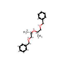 C[C@@H](COCc1ccccc1)O[C@@H](C)COCc1ccccc1